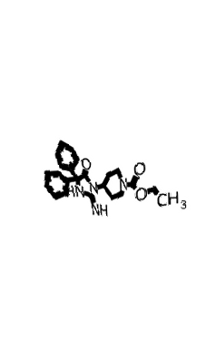 CCOC(=O)N1CCC(N2C(=N)NC(c3ccccc3)(c3ccccc3)C2=O)CC1